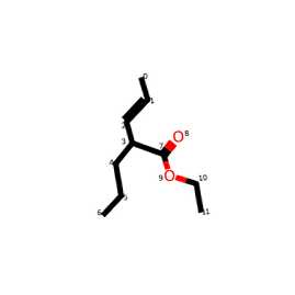 C/C=C/C(CCC)C(=O)OCC